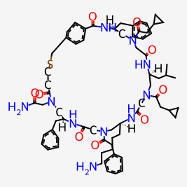 CC(C)C[C@H]1CN(C(=O)CC2CC2)CC(=O)N[C@@H](CCCCCN)CN(C(=O)Cc2ccccc2)CC(=O)N[C@@H](Cc2ccccc2)CN(CC(N)=O)C(=O)CCSCc2ccc(cc2)C(=O)N[C@@H](Cc2ccccc2)CN(C(=O)CC2CC2)CC(=O)N1